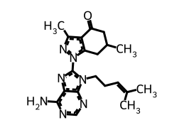 CC(C)=CCCn1c(-n2nc(C)c3c2CC(C)CC3=O)nc2c(N)ncnc21